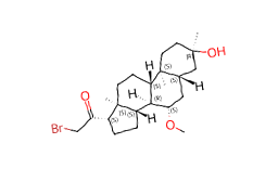 CO[C@H]1C[C@H]2C[C@](C)(O)CC[C@]2(C)[C@H]2CC[C@]3(C)[C@@H](C(=O)CBr)CC[C@H]3[C@H]12